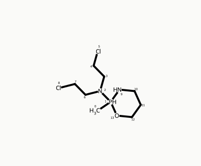 C[PH]1(N(CCCl)CCCl)NCCCO1